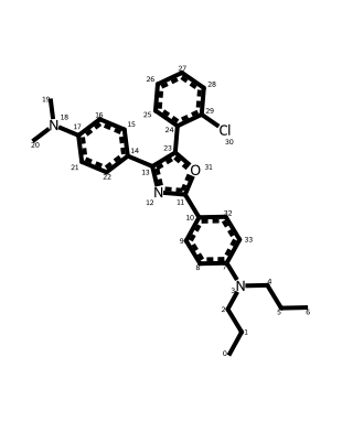 CCCN(CCC)c1ccc(-c2nc(-c3ccc(N(C)C)cc3)c(-c3ccccc3Cl)o2)cc1